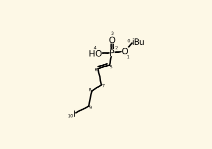 CCC(C)OP(=O)(O)C=CCCCI